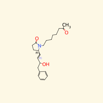 CC(=O)CCCCCCN1C(=O)CC[C@@H]1/C=C/C(O)Cc1ccccc1